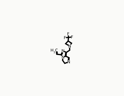 C=Cc1nc(CN2CC(C(F)(F)F)C2)c2n1CCN=C2